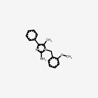 COc1ccccc1Cn1c(N)nc(-c2ccccc2)c1C